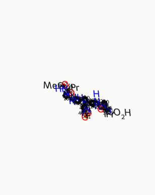 COC(=O)N[C@H](C(=O)N1CCC[C@H]1c1nc2ccc([C@H]3CC[C@H](c4ccc5nc([C@@H]6CCCN6C(=O)[C@H](C(C)C)N(C)C(=O)O)[nH]c5c4)N3c3ccc(N(C)S(C)(=O)=O)nc3)cc2[nH]1)C(C)C